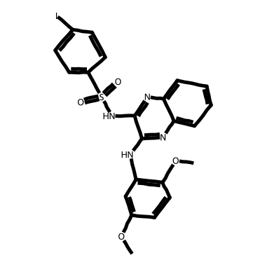 COc1ccc(OC)c(Nc2nc3ccccc3nc2NS(=O)(=O)c2ccc(I)cc2)c1